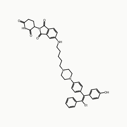 CCC(=C(c1ccc(O)cc1)c1ccc(N2CCN(CCCCCNc3ccc4c(c3)C(=O)N(C3CCC(=O)NC3=O)C4=O)CC2)cc1)c1ccccc1